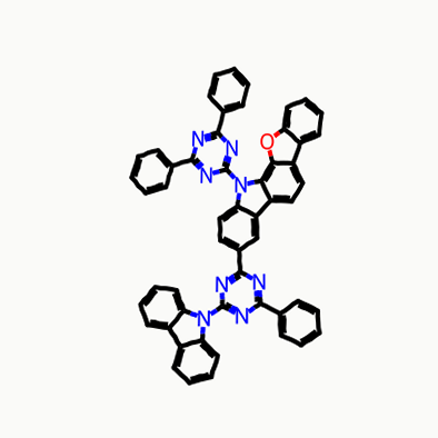 c1ccc(-c2nc(-c3ccc4c(c3)c3ccc5c6ccccc6oc5c3n4-c3nc(-c4ccccc4)nc(-c4ccccc4)n3)nc(-n3c4ccccc4c4ccccc43)n2)cc1